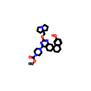 CC(C)(C)OC(=O)N1CCN(c2nc(OCC34CCCN3CCC4)nc3c2CCC2(CCCc4ccc(O)cc42)C3)CC1